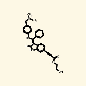 CN(C)Cc1ccc(N/C(C2=CCCC=C2)=C2\C(=O)Nc3cc(C#CC(=O)NCCO)ccc32)cc1